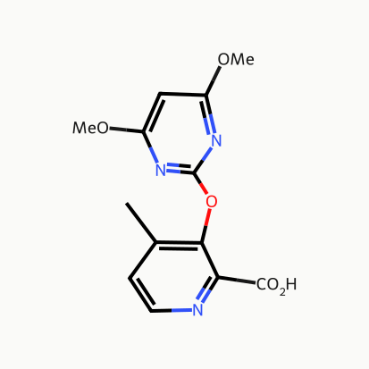 COc1cc(OC)nc(Oc2c(C)ccnc2C(=O)O)n1